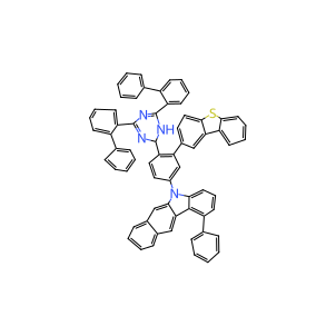 c1ccc(-c2ccccc2C2=NC(c3ccc(-n4c5cc6ccccc6cc5c5c(-c6ccccc6)cccc54)cc3-c3ccc4sc5ccccc5c4c3)NC(c3ccccc3-c3ccccc3)=N2)cc1